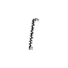 CCC=CCCCCCCCCC[CH]CCCCCCCC=CCCC